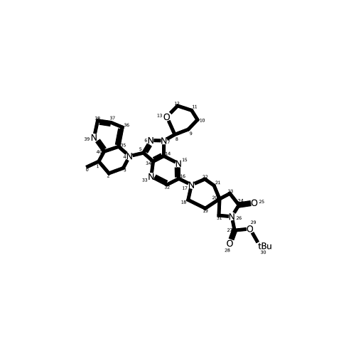 CC1CCN(c2nn(C3CCCCO3)c3nc(N4CCC5(CC4)CC(=O)N(C(=O)OC(C)(C)C)C5)cnc23)c2cccnc21